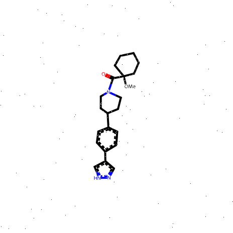 COC1(C(=O)N2CCC(c3ccc(-c4cn[nH]c4)cc3)CC2)CCCCC1